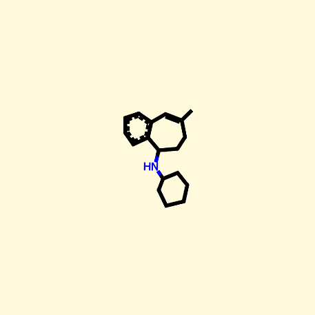 CC1=Cc2ccccc2C(NC2CCCCC2)CC1